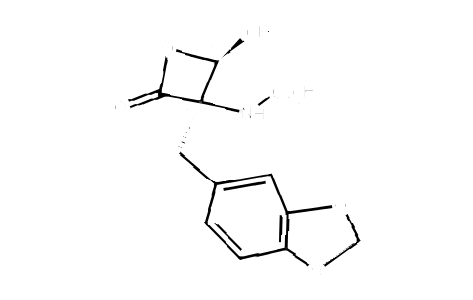 C[C@@H]1OC(=O)[C@]1(Cc1ccc2c(c1)OCO2)NC(=O)O